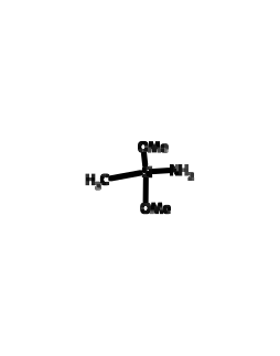 CO[Si](C)(N)OC